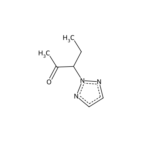 CCC(C(C)=O)n1nccn1